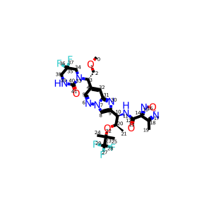 COC[C@H](c1cnn2cc([C@@H](NC(=O)c3nonc3C)[C@@H](C)OC(C)(C)C(F)(F)F)nc2c1)N1CC(F)(F)CNC1=O